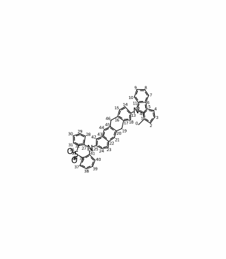 Cc1cccc2c3ccccc3n(-c3ccc4c(c3)Cc3cc5ccc(N6c7ccccc7S(=O)(=O)c7ccccc76)cc5cc3C4)c12